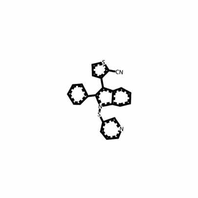 N#Cc1sccc1-c1c(-c2ccccc2)n(Sc2cccnc2)c2ccccc12